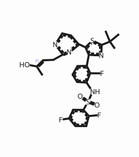 C/C(O)=C\Cc1nccc(-c2sc(C(C)(C)C)nc2-c2cccc(NS(=O)(=O)c3cc(F)ccc3F)c2F)n1